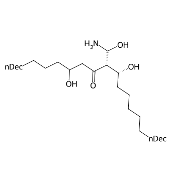 CCCCCCCCCCCCCCC[C@@H](O)[C@H](C(=O)CC(O)CCCCCCCCCCCCC)C(N)O